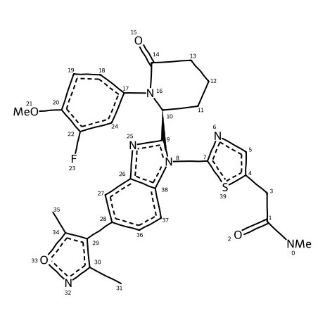 CNC(=O)Cc1cnc(-n2c([C@@H]3CCCC(=O)N3c3ccc(OC)c(F)c3)nc3cc(-c4c(C)noc4C)ccc32)s1